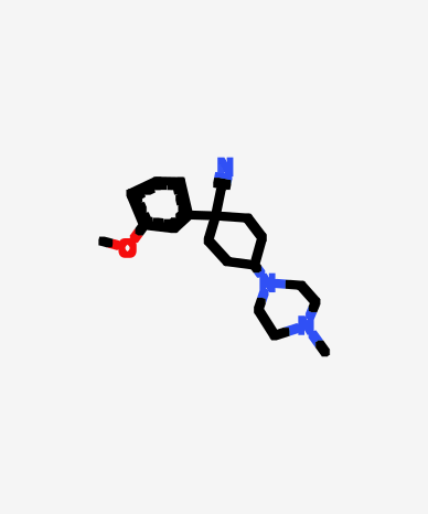 COc1cccc(C2(C#N)CCC(N3CCN(C)CC3)CC2)c1